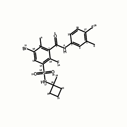 Cc1cc(NC(=O)c2c(C)c(Br)cc(S(=O)(=O)NC3(C)CCC3)c2F)ccc1F